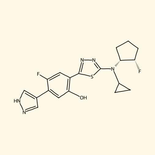 Oc1cc(-c2cn[nH]c2)c(F)cc1-c1nnc(N(C2CC2)[C@@H]2CCC[C@@H]2F)s1